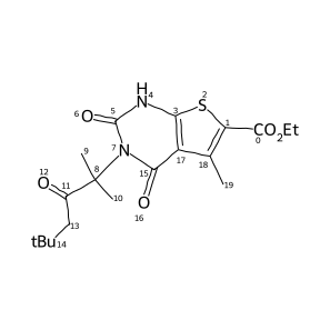 CCOC(=O)c1sc2[nH]c(=O)n(C(C)(C)C(=O)CC(C)(C)C)c(=O)c2c1C